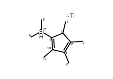 CC1=C(C)C(C)C([SiH](C)C)=C1C.[Ti]